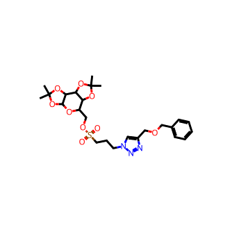 CC1(C)OC2OC(COS(=O)(=O)CCCn3cc(COCc4ccccc4)nn3)C3OC(C)(C)OC3C2O1